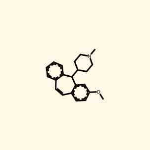 COc1ccc2c(c1)C(C1CCN(C)CC1)c1ccccc1C=C2